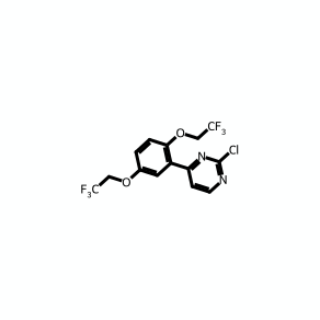 FC(F)(F)COc1ccc(OCC(F)(F)F)c(-c2ccnc(Cl)n2)c1